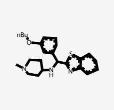 CCCCOc1cccc(C(NC2CCN(C)CC2)c2nc3ccccc3s2)c1